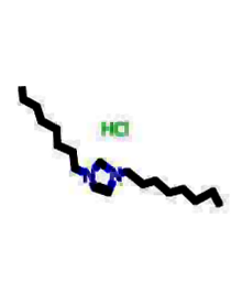 CCCCCCCCN1C=CN(CCCCCCCC)C1.Cl